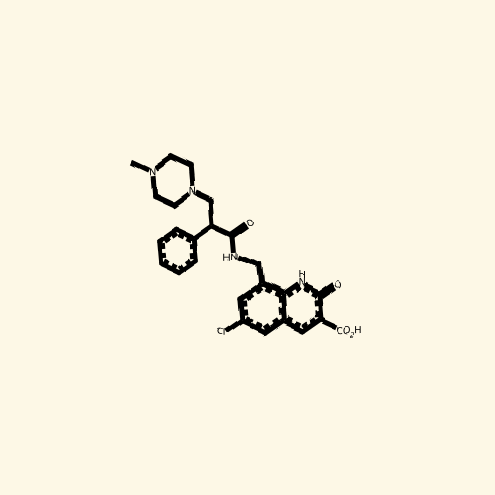 CN1CCN(CC(C(=O)NCc2cc(Cl)cc3cc(C(=O)O)c(=O)[nH]c23)c2ccccc2)CC1